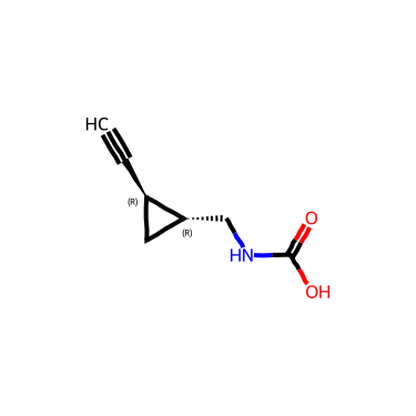 C#C[C@@H]1C[C@H]1CNC(=O)O